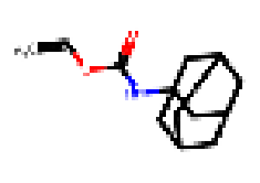 C=COC(=O)NC12CC3CC(CC(C3)C1)C2